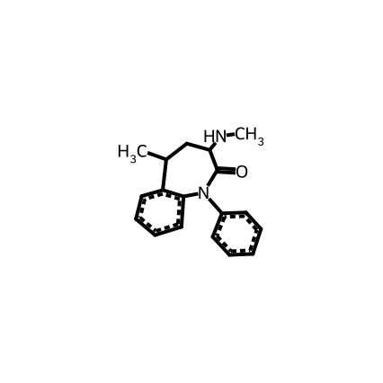 CNC1CC(C)c2ccccc2N(c2ccccc2)C1=O